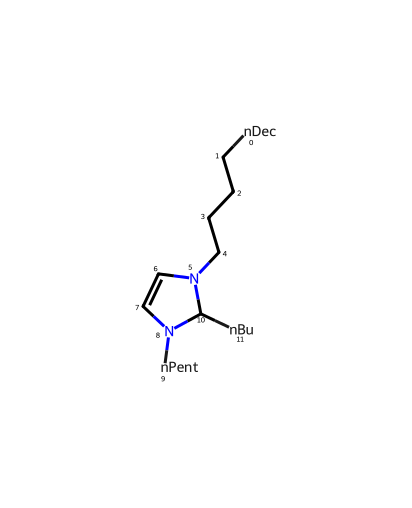 CCCCCCCCCCCCCCN1C=CN(CCCCC)C1CCCC